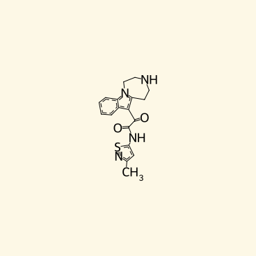 Cc1cc(NC(=O)C(=O)c2c3n(c4ccccc24)CCNCC3)sn1